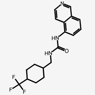 O=C(NCC1CCC(C(F)(F)F)CC1)Nc1cccc2cnccc12